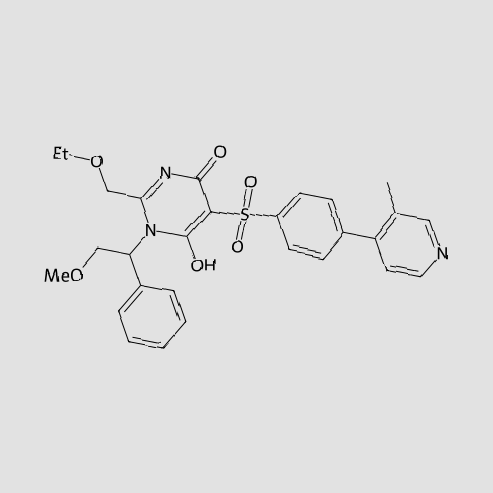 CCOCc1nc(=O)c(S(=O)(=O)c2ccc(-c3ccncc3C)cc2)c(O)n1C(COC)c1ccccc1